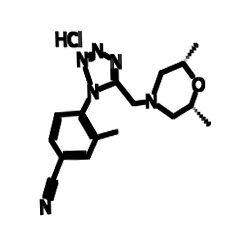 Cc1cc(C#N)ccc1-n1nnnc1CN1C[C@@H](C)O[C@@H](C)C1.Cl